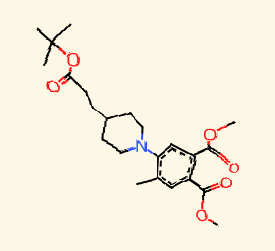 COC(=O)c1cc(C)c(N2CCC(CCC(=O)OC(C)(C)C)CC2)cc1C(=O)OC